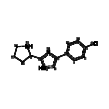 Clc1ccc(-c2c[nH]c(C3CCCN3)n2)cc1